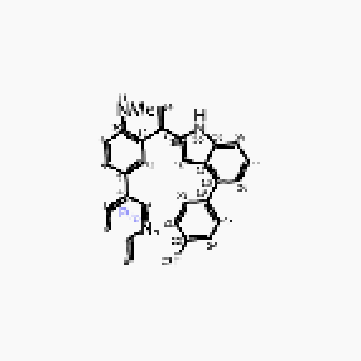 C=C/N=C\C(=C/C)c1ccc(NC)c(C(=C)c2cc3c(-c4ccc(F)cc4)cccc3[nH]2)c1